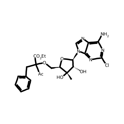 CCOC(=O)C(Cc1ccccc1)(OC[C@H]1O[C@@H](n2cnc3c(N)nc(Cl)nc32)[C@H](O)[C@]1(C)O)C(C)=O